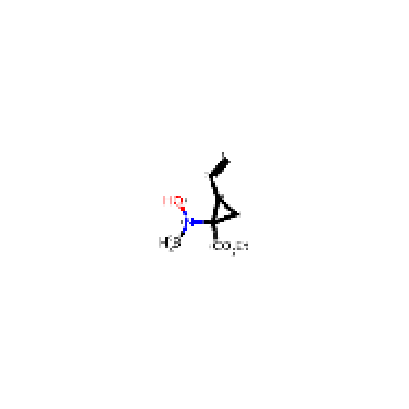 BN(O)C1(C(=O)OCC)CC1C=C